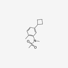 Cc1ccc(C2CCC2)cc1N(C)S(C)(=O)=O